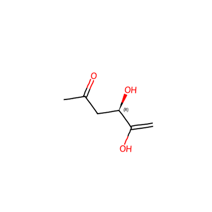 C=C(O)[C@H](O)CC(C)=O